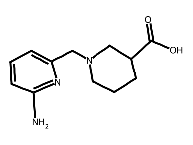 Nc1cccc(CN2CCCC(C(=O)O)C2)n1